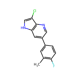 Cc1cc(-c2cnc3c(Cl)c[nH]c3c2)ccc1F